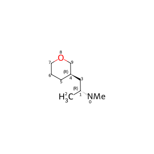 CN[C@H](C)C[C@H]1CCCOC1